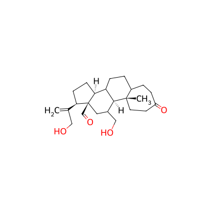 C=C(CO)[C@H]1CC[C@H]2C3CCC4CCC(=O)CC[C@]4(C)[C@H]3C(CO)C[C@]12C=O